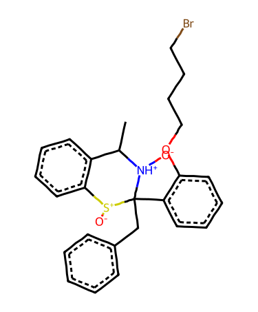 CC1c2ccccc2[S+]([O-])C(Cc2ccccc2)(c2ccccc2OCCCCBr)[NH+]1[O-]